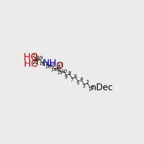 CCCCCCCCCCCCCCCCCCCCCC(=O)CCCNCCC(O)O